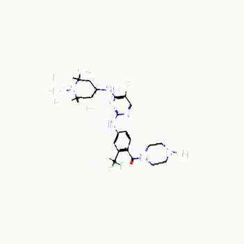 CN1CCN(C(=O)c2ccc(Nc3ncc(F)c(NC4CC(C)(C)N(C)C(C)(C)C4)n3)cc2C(F)(F)F)CC1